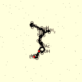 CC[C@H](O)[C@@H](C)[C@H]1O[C@@H]1C[C@@](C)(O)/C=C/C=C(\C)[C@H]1OC(=O)C[C@H](O)CC[C@@](C)(OC(C)=O)[C@@H](OC(=O)N2CCN(C(=O)OCc3ccc(NC(=O)[C@H](CCCNC(N)=O)NC(=O)[C@@H](NC(=O)CCOCCOCCN4C(=O)C=CC4=O)C(C)C)cc3)CC2)/C=C/[C@@H]1C